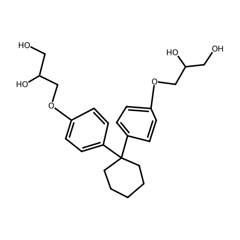 OCC(O)COc1ccc(C2(c3ccc(OCC(O)CO)cc3)CCCCC2)cc1